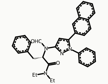 CCN(CC)C(=O)[C@H](Cc1ccccc1)N(C=O)c1cc(-c2ccc3ccccc3c2)n(-c2ccccc2)n1